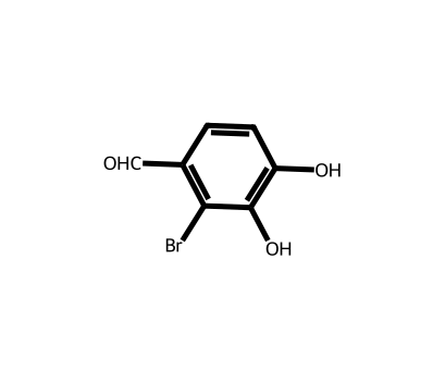 O=Cc1ccc(O)c(O)c1Br